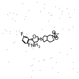 CS(=O)(=O)N1CCC2CN([C@H]3CO[C@H](c4cc(F)ccc4F)C(N)C3)CC2C1